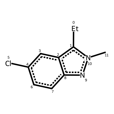 CCc1c2cc(Cl)ccc2nn1C